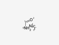 NC=O.[I-].[Na+]